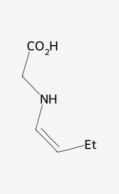 CC/C=C\NCC(=O)O